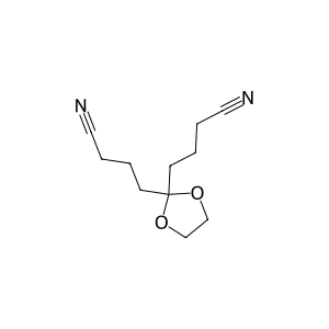 N#CCCCC1(CCCC#N)OCCO1